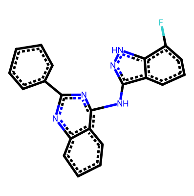 Fc1cccc2c(Nc3nc(-c4ccccc4)nc4ccccc34)n[nH]c12